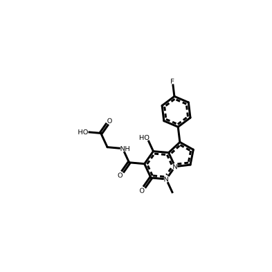 Cn1c(=O)c(C(=O)NCC(=O)O)c(O)c2c(-c3ccc(F)cc3)ccn21